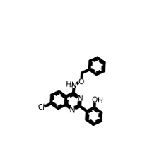 Oc1ccccc1-c1nc(NOCc2ccccc2)c2ccc(Cl)cc2n1